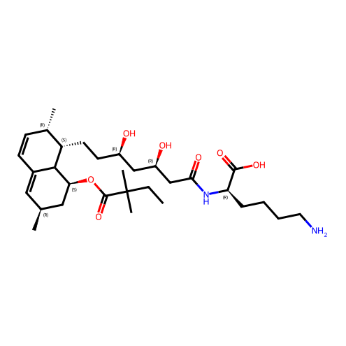 CCC(C)(C)C(=O)O[C@H]1C[C@@H](C)C=C2C=C[C@H](C)[C@H](CC[C@@H](O)C[C@@H](O)CC(=O)N[C@H](CCCCN)C(=O)O)C21